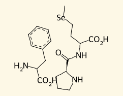 C[Se]CCC(NC(=O)[C@@H]1CCCN1)C(=O)O.NC(Cc1ccccc1)C(=O)O